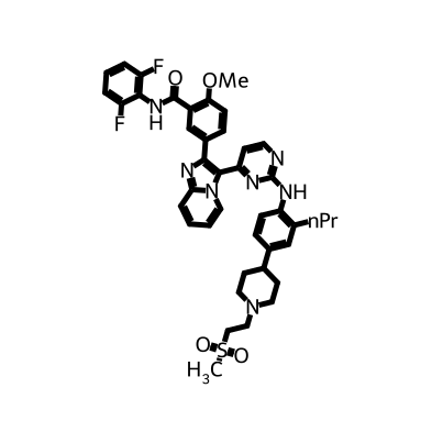 CCCc1cc(C2CCN(CCS(C)(=O)=O)CC2)ccc1Nc1nccc(-c2c(-c3ccc(OC)c(C(=O)Nc4c(F)cccc4F)c3)nc3ccccn23)n1